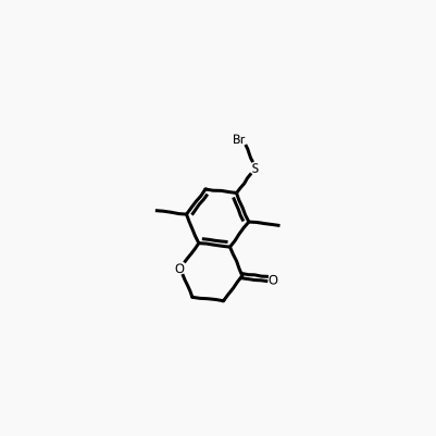 Cc1cc(SBr)c(C)c2c1OCCC2=O